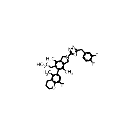 Cc1c(-c2c(C)c3c(c(C)c2CC(=O)O)CN(c2nnc(Cc4ccc(F)c(F)c4)o2)C3)cc(F)c2c1CCCO2